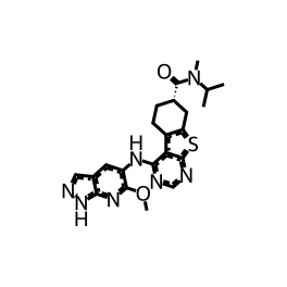 COc1nc2[nH]ncc2cc1Nc1ncnc2sc3c(c12)CC[C@H](C(=O)N(C)C(C)C)C3